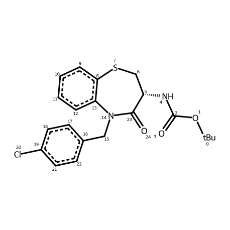 CC(C)(C)OC(=O)N[C@H]1CSc2ccccc2N(Cc2ccc(Cl)cc2)C1=O